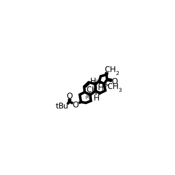 C=C1C[C@H]2[C@@H]3C=CC4CC(OC(=O)C(C)(C)C)CC[C@]4(C)[C@@H]3CC[C@]2(C)C1=O